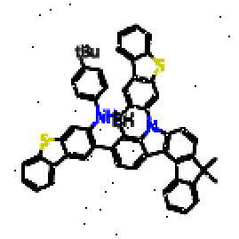 CC(C)(C)c1ccc(Nc2cc3sc4ccccc4c3cc2-c2ccc3c4c5c(ccc4n4c3c2Bc2cc3c(cc2-4)sc2ccccc23)C(C)(C)c2ccccc2-5)cc1